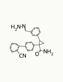 N#Cc1ccccc1-c1ccc(C2(C(N)=O)CC2c2cccc(C=NN)c2)cc1